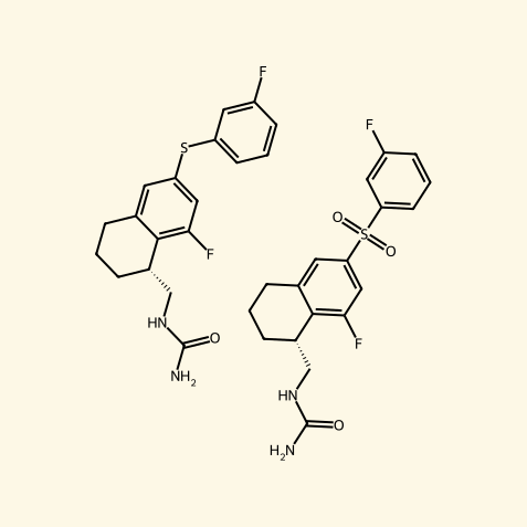 NC(=O)NC[C@@H]1CCCc2cc(S(=O)(=O)c3cccc(F)c3)cc(F)c21.NC(=O)NC[C@@H]1CCCc2cc(Sc3cccc(F)c3)cc(F)c21